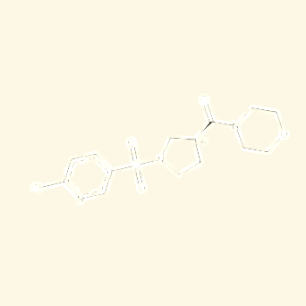 O=C([C@H]1CCN(S(=O)(=O)c2ccc(Cl)nc2)C1)N1CCOCC1